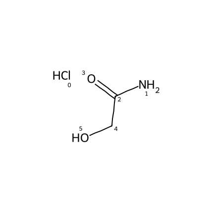 Cl.NC(=O)CO